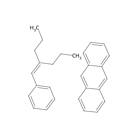 CCCC(=Cc1ccccc1)CCC.c1ccc2cc3ccccc3cc2c1